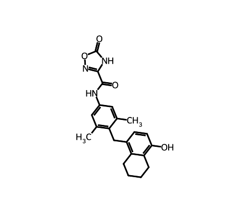 Cc1cc(NC(=O)c2noc(=O)[nH]2)cc(C)c1Cc1ccc(O)c2c1CCCC2